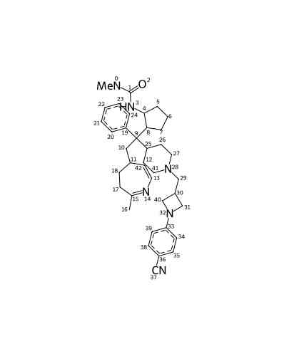 CNC(=O)NC1CCCC1C(CC1C=CN=C(C)CC1)(c1ccccc1)C1CCN(CC2CN(c3ccc(C#N)cc3)C2)CC1